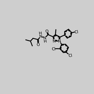 Cc1c(C(=O)NNC(=O)CC(C)C)nn(-c2ccc(Cl)cc2Cl)c1-c1ccc(Cl)cc1